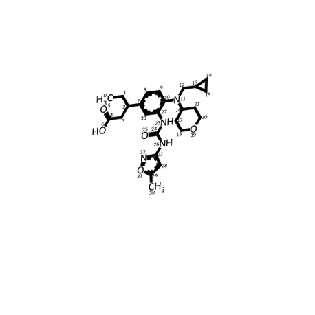 CCC(CC(=O)O)c1ccc(N(CC2CC2)C2CCOCC2)c(NC(=O)Nc2cc(C)on2)c1